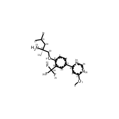 COc1cc(-c2ccc(OC[C@@](C)(N)CC(C)C)c(C(F)(F)F)c2)ncn1